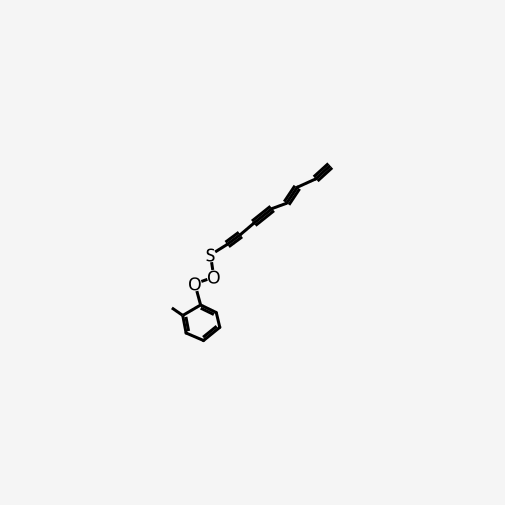 C#CC#CC#CC#CSOOc1ccccc1C